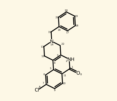 O=c1[nH]c2c(c3cc(Cl)ccc13)CCN(Cc1ccccc1)C2